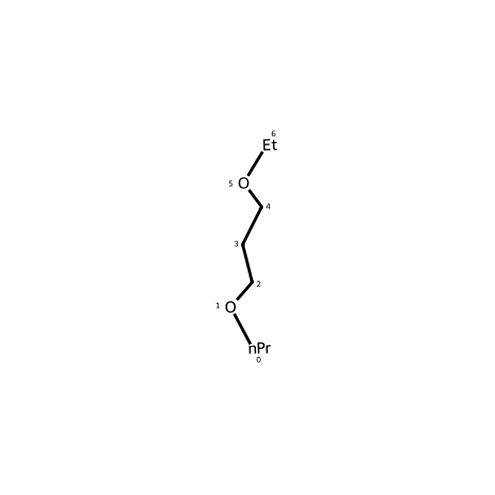 [CH2]CCOCCCOCC